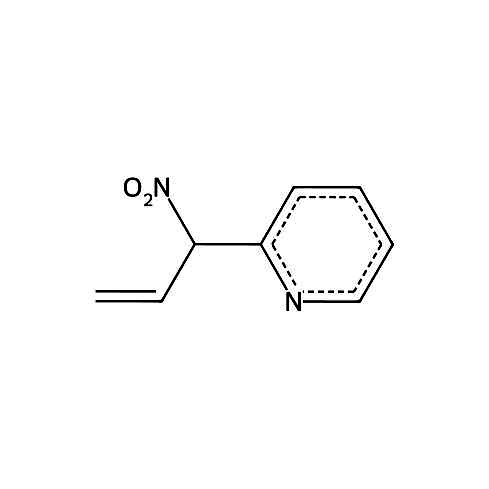 C=CC(c1ccccn1)[N+](=O)[O-]